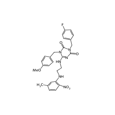 COc1ccc(Cn2c(NCCNc3cc(C)ccc3[N+](=O)[O-])nc(=O)n(Cc3ccc(F)cc3)c2=O)cc1